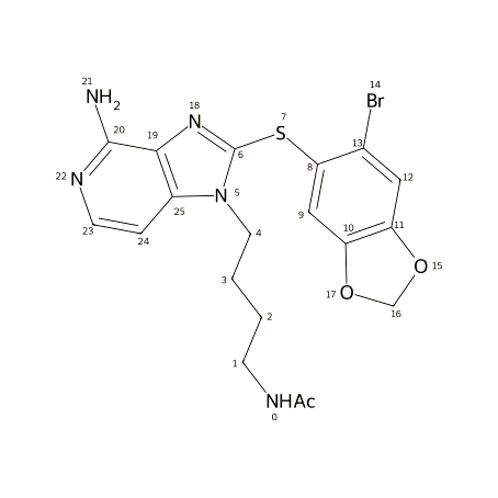 CC(=O)NCCCCn1c(Sc2cc3c(cc2Br)OCO3)nc2c(N)nccc21